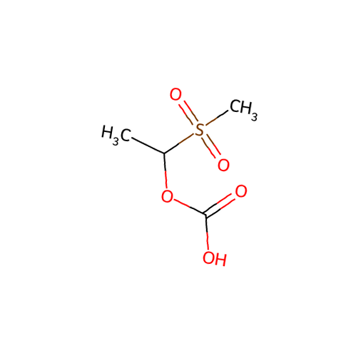 CC(OC(=O)O)S(C)(=O)=O